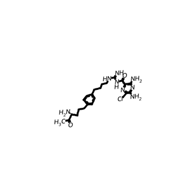 CC(=O)[C@H](N)CCCc1ccc(CCCCNC(=N)NC(=O)c2nc(Cl)c(N)nc2N)cc1